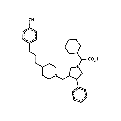 N#Cc1ccc(CCCC2CCN(CC3CN(C(C(=O)O)C4CCCCC4)CC3c3ccccc3)CC2)cc1